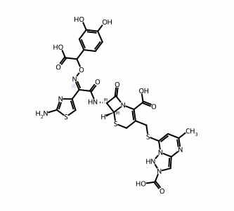 CC1=NC2=CN(C(=O)O)NN2C(SCC2=C(C(=O)O)N3C(=O)[C@@H](NC(=O)/C(=N\OC(C(=O)O)c4ccc(O)c(O)c4)c4csc(N)n4)[C@H]3SC2)=C1